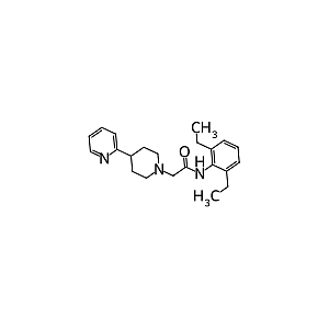 CCc1cccc(CC)c1NC(=O)CN1CCC(c2ccccn2)CC1